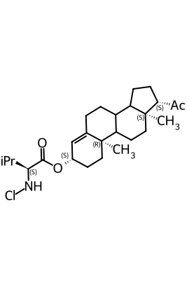 CC(=O)[C@H]1CCC2C3CCC4=C[C@@H](OC(=O)[C@@H](NCl)C(C)C)CC[C@]4(C)C3CC[C@@]21C